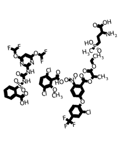 CCOC(=O)C(C)OC(=O)c1cc(Oc2ccc(C(F)(F)F)cc2Cl)ccc1[N+](=O)[O-].COc1c(Cl)ccc(Cl)c1C(=O)O.CP(=O)(O)CCC(N)C(=O)O.O=C(Nc1nc(OC(F)F)cc(OC(F)F)n1)NS(=O)(=O)c1ccccc1C(=O)O